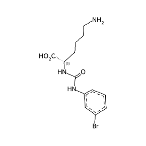 NCCCC[C@H](NC(=O)Nc1cccc(Br)c1)C(=O)O